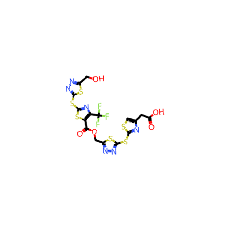 O=C(O)Cc1csc(Sc2nnc(COC(=O)c3sc(Sc4nnc(CO)s4)nc3C(F)(F)F)s2)n1